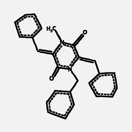 Cn1c(=O)/c(=C/c2ccccc2)n(Cc2ccccc2)c(=O)/c1=C/c1ccccc1